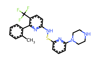 Cc1ccccc1-c1nc(NSc2cccc(N3CCNCC3)n2)ccc1C(F)(F)F